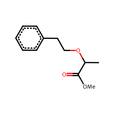 COC(=O)C(C)OCCc1ccccc1